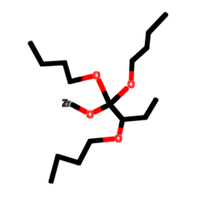 CCCCOC(CC)C([O][Zr])(OCCCC)OCCCC